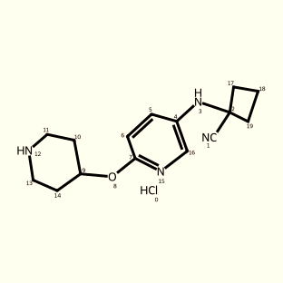 Cl.N#CC1(Nc2ccc(OC3CCNCC3)nc2)CCC1